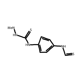 CNNC(=S)Nc1ccc(NC=S)cc1